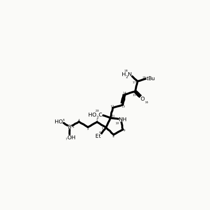 CCC1(CCCB(O)O)CCNC1(C/C=C/C(=O)C(N)C(C)(C)C)C(=O)O